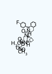 CS(=O)(=O)CCN[C@H]1C[C@@H](N(CCS(C)(=O)=O)C(=O)N2CCc3ccccc3[C@@H]2c2ccc(F)cc2)C2CC1C2